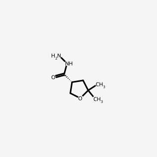 CC1(C)C[C@@H](C(=O)NN)CO1